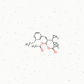 CCc1cccc(C=C(C(C)C)C(OC(C)=O)OC(C)=O)c1